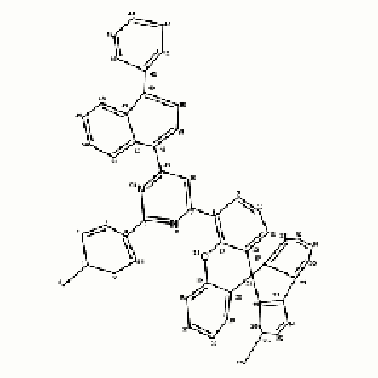 CC1C=CC(c2nc(-c3cccc4c3Oc3ccccc3C43C4=C(C=CC(C)C4)c4ccccc43)cc(-c3ccc(-c4ccccc4)c4ccccc34)n2)=CC1